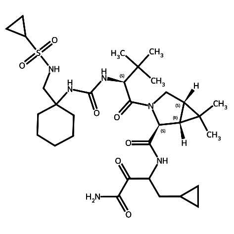 CC(C)(C)[C@H](NC(=O)NC1(CNS(=O)(=O)C2CC2)CCCCC1)C(=O)N1C[C@H]2[C@@H]([C@H]1C(=O)NC(CC1CC1)C(=O)C(N)=O)C2(C)C